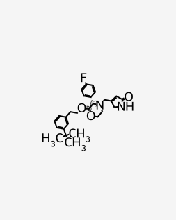 CC(C)(C)c1cccc(CCO[C@@H]2OCCN(CC3=CC(=O)NC3)[C@H]2c2ccc(F)cc2)c1